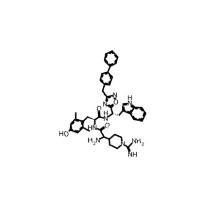 Cc1cc(O)cc(C)c1C[C@H](NC(=O)C(N)C1CCN(C(=N)N)CC1)C(=O)N[C@@H](Cc1c[nH]c2ccccc12)c1nc(Cc2ccc(-c3ccccc3)cc2)no1